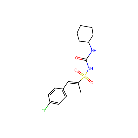 C/C(=C\c1ccc(Cl)cc1)S(=O)(=O)NC(=O)NC1CCCCC1